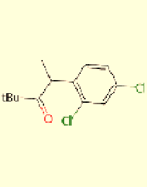 CC(C(=O)C(C)(C)C)c1ccc(Cl)cc1Cl